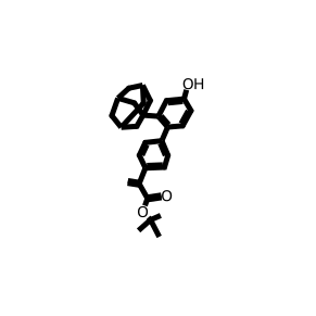 C=C(C(=O)OC(C)(C)C)c1ccc(-c2ccc(O)cc2C23CC4CC(CC(C4)C2)C3)cc1